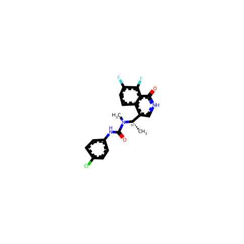 C[C@@H](c1c[nH]c(=O)c2c(F)c(F)ccc12)N(C)C(=O)Nc1ccc(Cl)cc1